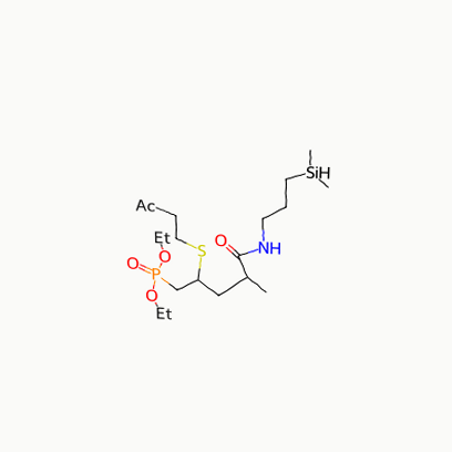 CCOP(=O)(CC(CC(C)C(=O)NCCC[SiH](C)C)SCCC(C)=O)OCC